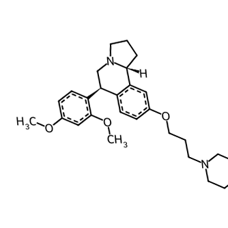 COc1ccc([C@H]2CN3CCC[C@@H]3c3cc(OCCCN4CCCCC4)ccc32)c(OC)c1